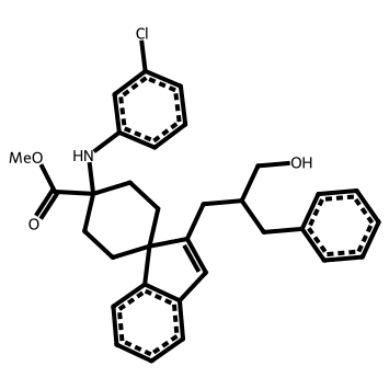 COC(=O)C1(Nc2cccc(Cl)c2)CCC2(CC1)C(CC(CO)Cc1ccccc1)=Cc1ccccc12